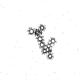 c1ccc(-c2ccc3c(c2)nc(-c2ccccc2)c2cccc(-c4ccc(-c5ccc(-c6nc(-c7ccccc7)nc(-c7ccccc7)n6)cc5)cc4)c23)cc1